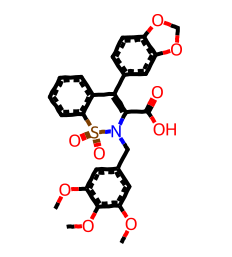 COc1cc(CN2C(C(=O)O)=C(c3ccc4c(c3)OCO4)c3ccccc3S2(=O)=O)cc(OC)c1OC